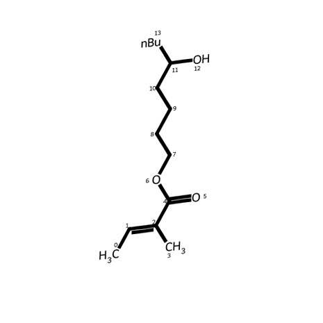 CC=C(C)C(=O)OCCCCC(O)CCCC